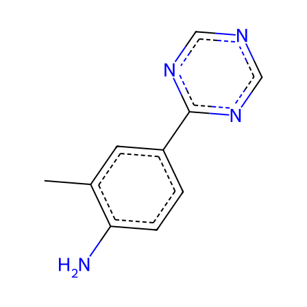 Cc1cc(-c2ncncn2)ccc1N